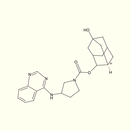 O=C(OC1C2CC3C[C@@H]1CC(O)(C3)C2)N1CCC(Nc2ncnc3ccccc23)C1